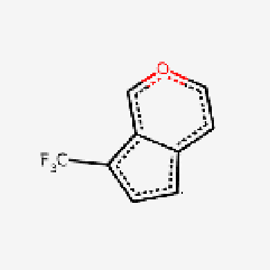 FC(F)(F)c1c[c]c2ccocc1-2